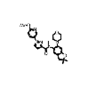 COc1ccc(-n2ccc(C(=O)Nc3cc4c(cc3N3CCOCC3)OC(C)(C)C4)n2)cn1